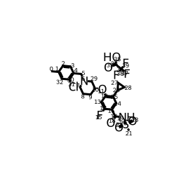 Cc1ccc(CN2CCC[C@@H](Oc3cc(F)c(C(=O)NS(C)(=O)=O)cc3C3CC3)C2)c(Cl)c1.O=C(O)C(F)(F)F